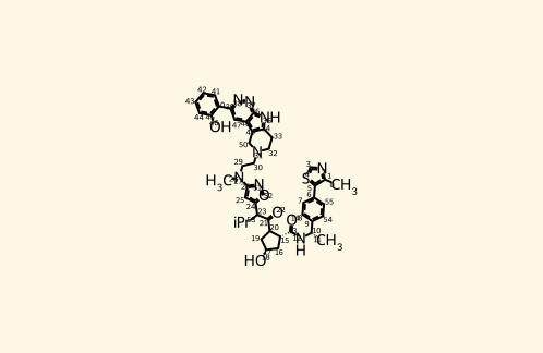 Cc1ncsc1-c1ccc([C@H](C)NC(=O)[C@@H]2C[C@@H](O)CC2C(=O)C(c2cc(N(C)CCN3CCc4[nH]c5nnc(-c6ccccc6O)cc5c4C3)no2)C(C)C)cc1